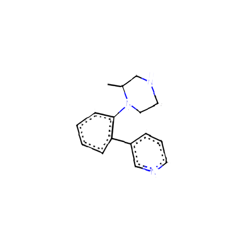 CC1CNCCN1c1ccccc1-c1[c]nccc1